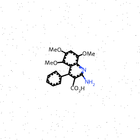 COc1cc(OC)c2nc(N)c(C(=O)O)c(-c3ccccc3)c2c1OC